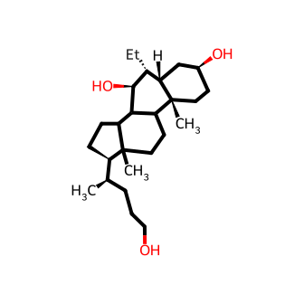 CC[C@H]1[C@H](O)C2C3CC[C@H]([C@H](C)CCCO)C3(C)CCC2[C@@]2(C)CC[C@H](O)C[C@@H]12